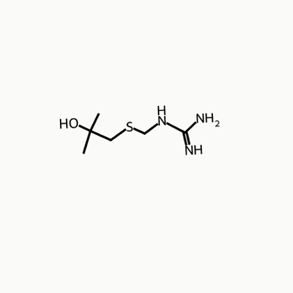 CC(C)(O)CSCNC(=N)N